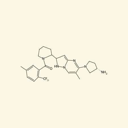 CC1=CN2NC(C3CCCCN3C(=O)c3cc(C)ccc3C(F)(F)F)C=C2N=C1N1CC[C@H](N)C1